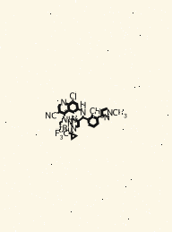 Cc1c(-c2ccn(C)n2)cccc1C(Nc1cc(Cl)c2ncc(C#N)c(NCC(C)(C)C)c2c1)c1cn(C2(C(F)(F)F)CC2)nn1